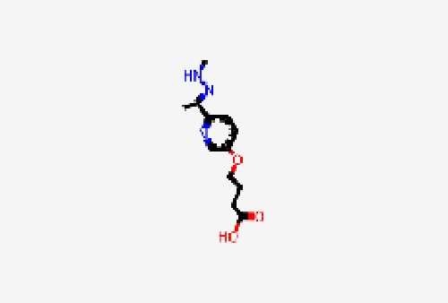 CN/N=C(\C)c1ccc(OCCCC(=O)O)cn1